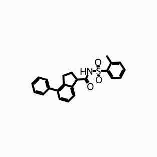 Cc1ccccc1S(=O)(=O)NC(=O)C1CCc2c(-c3ccccc3)cccc21